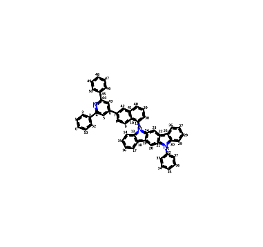 c1ccc(-c2cc(-c3ccc4c(-n5c6ccccc6c6cc7c(cc65)c5ccccc5n7-c5ccccc5)cccc4c3)cc(-c3ccccc3)n2)cc1